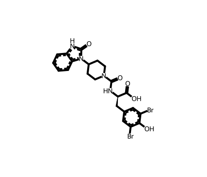 O=C(O)[C@@H](Cc1cc(Br)c(O)c(Br)c1)NC(=O)N1CCC(n2c(=O)[nH]c3ccccc32)CC1